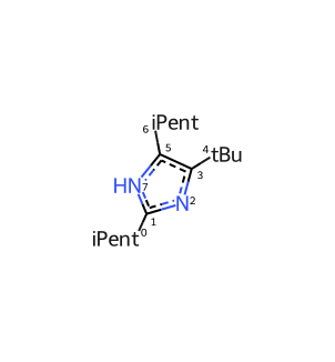 CCCC(C)c1nc(C(C)(C)C)c(C(C)CCC)[nH]1